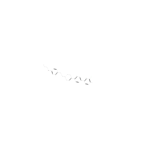 CCCC(O)c1ccc(CCC2CC=C(c3ccc(-c4ccc(C)c(F)c4F)cc3F)CC2)c(F)c1F